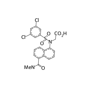 CNC(=O)c1cccc2c(N(CC(=O)O)S(=O)(=O)c3cc(Cl)cc(Cl)c3)cccc12